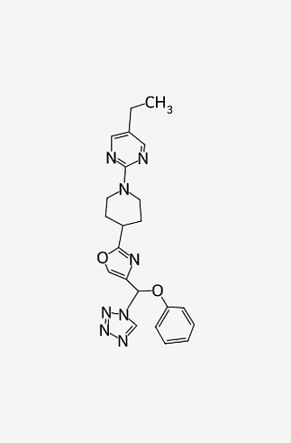 CCc1cnc(N2CCC(c3nc(C(Oc4ccccc4)n4cnnn4)co3)CC2)nc1